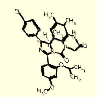 COc1ccc(C2=N[C@@H](c3ccc(Cl)cc3)[C@@H]3N2C(=O)N2CC(=O)NC4=C2C3(C)C=C(C)C4C)c(OC(C)C)c1